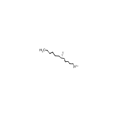 CCCCCCCCCCC[CH2][Al+2].[I-].[I-]